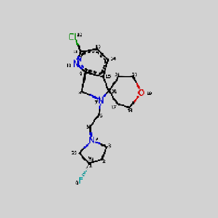 F[C@H]1CCN(CCN2Cc3nc(Cl)ccc3C23CCOCC3)C1